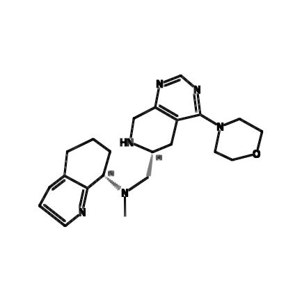 CN(C[C@H]1Cc2c(ncnc2N2CCOCC2)CN1)[C@H]1CCCc2cccnc21